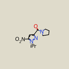 CC(C)n1nc(C(=O)N2CCCC2)cc1[N+](=O)[O-]